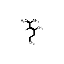 C=C(N)/C(F)=C(\C)CCC